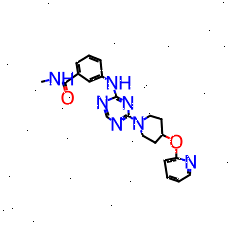 CNC(=O)c1cccc(Nc2ncnc(N3CCC(Oc4ccccn4)CC3)n2)c1